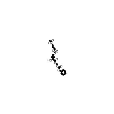 CC(=O)NCCCS(=O)(=O)OCC(C)(C)[C@@H](O)C(=O)OCOC(=O)Oc1ccccc1